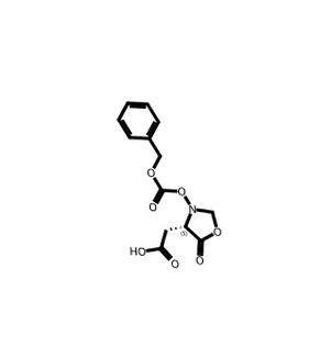 O=C(O)C[C@H]1C(=O)OCN1OC(=O)OCc1ccccc1